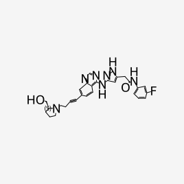 O=C(Cc1cc(Nc2ncnc3cc(C#CCCN4CCC[C@H]4CO)ccc23)n[nH]1)Nc1cccc(F)c1